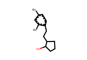 CC(C)(C)c1ccc(CCC2CCCC2O)c(C(C)(C)C)c1